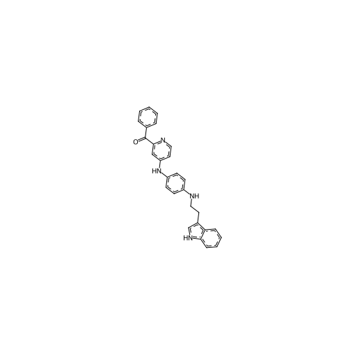 O=C(c1ccccc1)c1cc(Nc2ccc(NCCc3c[nH]c4ccccc34)cc2)ccn1